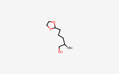 CCCCC(CO)CCCC1OCCO1